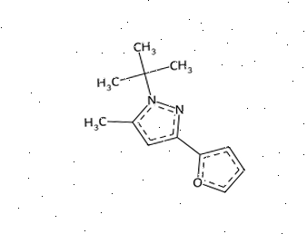 Cc1cc(-c2ccco2)nn1C(C)(C)C